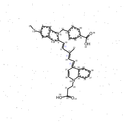 CSc1ccc2c(c1)sc(/C=C/C(C)=C/C=C1\C=CN(CCC(=O)O)c3ccccc31)[n+]2Cc1ccc(C(=O)O)cc1